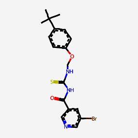 CC(C)(C)c1ccc(OCNC(=S)NC(=O)c2cncc(Br)c2)cc1